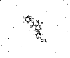 Cn1cc(-c2cnc(N)c(C(=O)Nc3ccccc3)c2)cn1